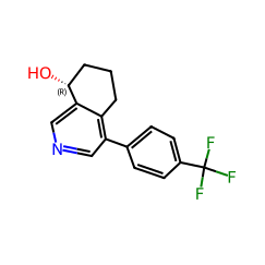 O[C@@H]1CCCc2c(-c3ccc(C(F)(F)F)cc3)cncc21